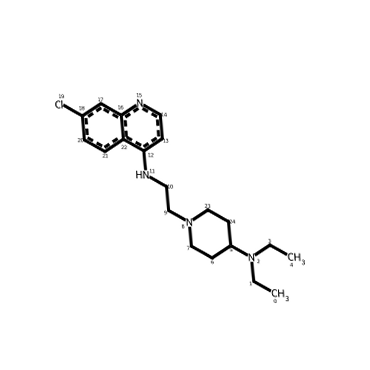 CCN(CC)C1CCN(CCNc2ccnc3cc(Cl)ccc23)CC1